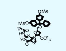 COc1ccc(C(OC[C@@H]2C[C@@H](OC(F)(F)F)[C@H](n3cnc4c(=O)[nH]c(NC(=O)C(C)C)nc43)O2)(c2ccccc2)c2ccc(OC)cc2)cc1